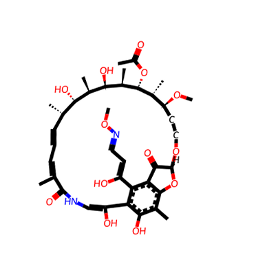 CO/N=C/C=C(\O)c1c2c3c(C)c(O)c1/C(O)=C/NC(=O)/C(C)=C\C=C\[C@H](C)[C@H](O)[C@@H](C)[C@@H](O)[C@@H](C)[C@H](OC(C)=O)[C@H](C)[C@@H](OC)CCO[C@@H](O3)C2=O